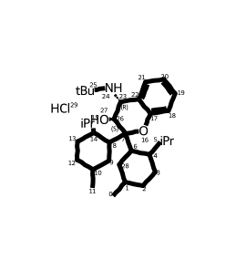 CC1CCC(C(C)C)C(C2(C3CC(C)CCC3C(C)C)Oc3ccccc3[C@@H](NC(C)(C)C)[C@@H]2O)C1.Cl